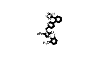 CCCc1cn(-c2c(C)cccc2F)c(=O)n1Cc1ccc(-c2ccccc2-c2nnn[nH]2)cn1